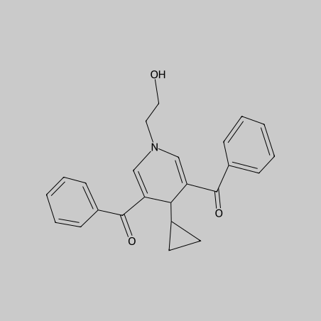 O=C(C1=CN(CCO)C=C(C(=O)c2ccccc2)C1C1CC1)c1ccccc1